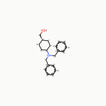 OC[C@H]1CC[C@@H](N(Cc2ccccc2)Cc2ccccc2)CC1